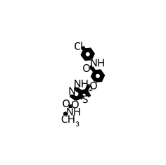 CCNC(=O)Oc1cnc(N)c2c(COc3cccc(C(=O)Nc4ccc(Cl)cc4)c3)csc12